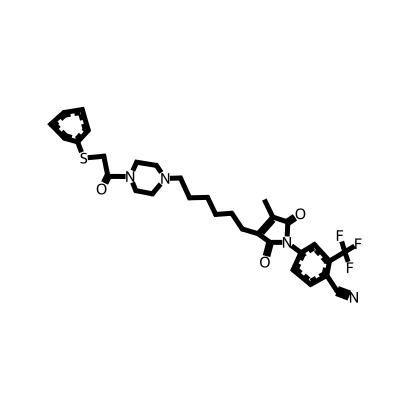 CC1=C(CCCCCCN2CCN(C(=O)CSc3ccccc3)CC2)C(=O)N(c2ccc(C#N)c(C(F)(F)F)c2)C1=O